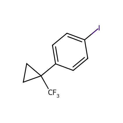 FC(F)(F)C1(c2ccc(I)cc2)CC1